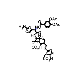 CC(=O)Oc1ccc(C(=O)O/N=C(\C(=O)N[C@@H]2C(=O)N3C(C(=O)O)=C(CSc4nnnn4CC(=O)O)CS[C@H]23)c2coc(N)n2)cc1OC(C)=O